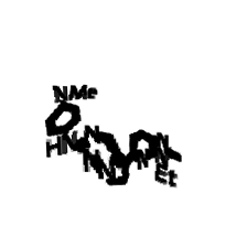 CCn1c(C)nc2ccc(-c3ccn4nc(N[C@H]5CC[C@H](NC)CC5)ncc34)nc21